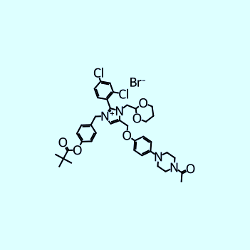 CC(=O)N1CCN(c2ccc(OCc3c[n+](Cc4ccc(OC(=O)C(C)(C)C)cc4)c(-c4ccc(Cl)cc4Cl)n3CC3OCCCO3)cc2)CC1.[Br-]